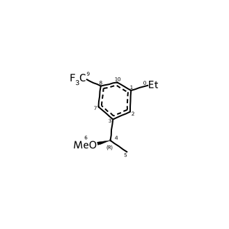 CCc1cc([C@@H](C)OC)cc(C(F)(F)F)c1